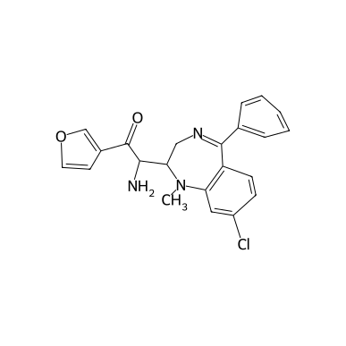 CN1c2cc(Cl)ccc2C(c2ccccc2)=NCC1C(N)C(=O)c1ccoc1